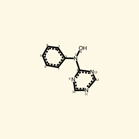 ON(c1ccccc1)c1ncncn1